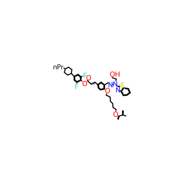 C=C(C)C(=C)OCCCCCCOc1ccc(/C=C/C(=O)Oc2c(F)cc(C3CCC(CCC)CC3)cc2F)cc1/C=N/N(CCO)c1nc2ccccc2s1